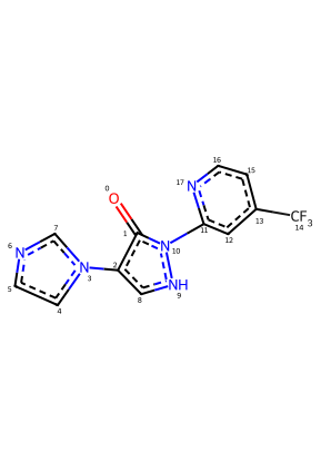 O=c1c(-n2ccnc2)c[nH]n1-c1cc(C(F)(F)F)ccn1